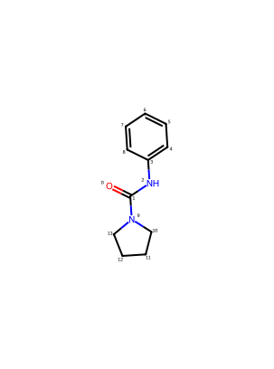 O=C(Nc1cc[c]cc1)N1CCCC1